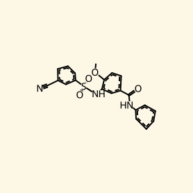 COc1ccc(C(=O)Nc2ccccc2)cc1NS(=O)(=O)c1cccc(C#N)c1